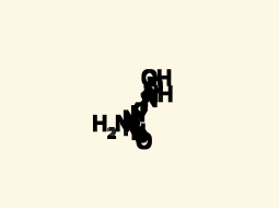 Nc1nc(N2CCC(c3cc(CC(=O)O)[nH]n3)CC2)cc(N2C3CCC2COC3)n1